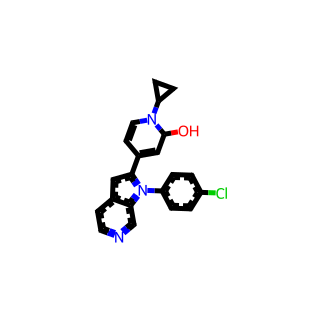 OC1C=C(c2cc3ccncc3n2-c2ccc(Cl)cc2)C=CN1C1CC1